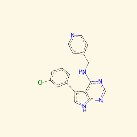 Clc1cccc(-c2c[nH]c3ncnc(NCc4ccncc4)c23)c1